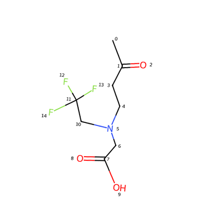 CC(=O)CCN(CC(=O)O)CC(F)(F)F